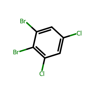 Clc1cc(Cl)c(Br)c(Br)c1